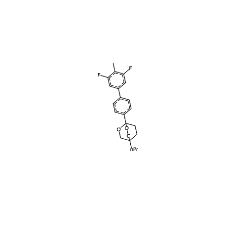 CCCC12CCC(c3ccc(-c4cc(F)c(C)c(F)c4)cc3)(OC1)OC2